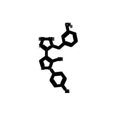 CCc1ccc(-n2ncc(C3=NNNN3Cc3cccc(C)c3)c2S)cc1